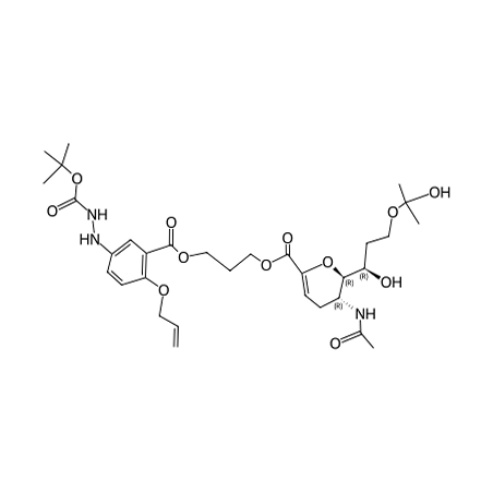 C=CCOc1ccc(NNC(=O)OC(C)(C)C)cc1C(=O)OCCCOC(=O)C1=CC[C@@H](NC(C)=O)[C@H]([C@H](O)CCOC(C)(C)O)O1